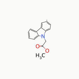 COC(=O)Cn1c2cc[c]cc2c2ccccc21